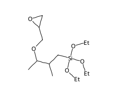 CCO[Si](CC(C)C(C)OCC1CO1)(OCC)OCC